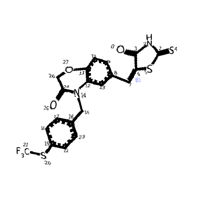 O=C1NC(=S)S/C1=C/c1ccc2c(c1)N(Cc1ccc(SC(F)(F)F)cc1)C(=O)CO2